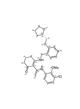 COc1c(Cl)cccc1NC(=S)C1=C(NCc2ccncc2OC[C@@H]2CCCO2)CCCC1=O